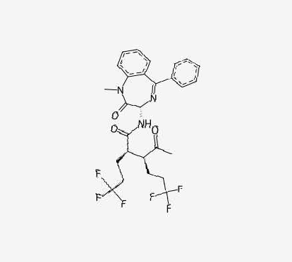 CC(=O)[C@@H](CCC(F)(F)F)[C@@H](CCC(F)(F)F)C(=O)N[C@H]1N=C(c2ccccc2)c2ccccc2N(C)C1=O